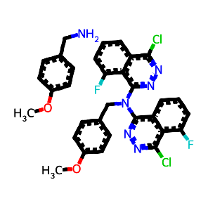 COc1ccc(CN(c2nnc(Cl)c3c(F)cccc23)c2nnc(Cl)c3cccc(F)c23)cc1.COc1ccc(CN)cc1